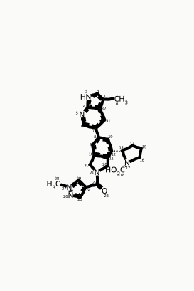 Cc1c[nH]c2ncc(-c3cc4c(c([C@@H]5CCCN5C(=O)O)c3)CN(C(=O)c3cnn(C)c3)C4)cc12